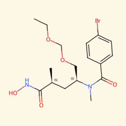 CCOCOC[C@H](C[C@H](C)C(=O)NO)N(C)C(=O)c1ccc(Br)cc1